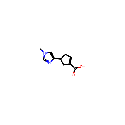 Cn1cnc(C2CC=C(B(O)O)C2)c1